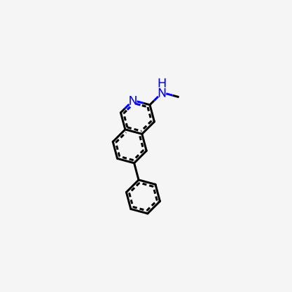 CNc1cc2cc(-c3ccccc3)ccc2cn1